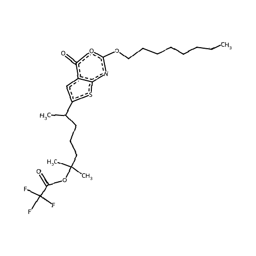 CCCCCCCCOc1nc2sc(C(C)CCCC(C)(C)OC(=O)C(F)(F)F)cc2c(=O)o1